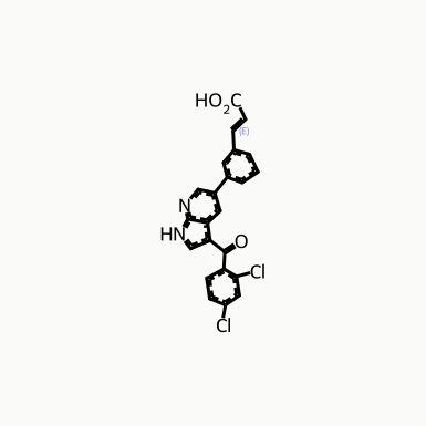 O=C(O)/C=C/c1cccc(-c2cnc3[nH]cc(C(=O)c4ccc(Cl)cc4Cl)c3c2)c1